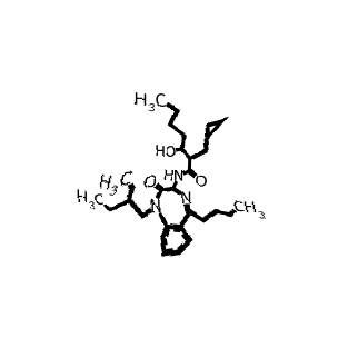 CCCCC1=NC(NC(=O)C(CC2CC2)C(O)CCCC)C(=O)N(CC(CC)CC)c2ccccc21